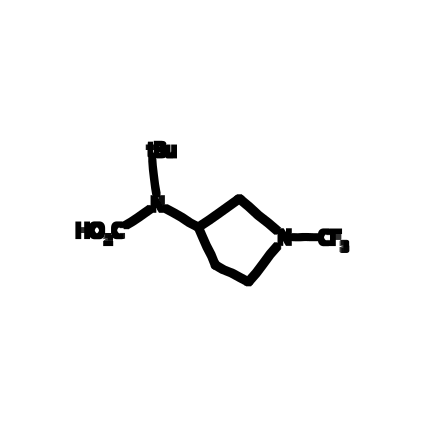 CC(C)(C)N(C(=O)O)C1CCN(C(F)(F)F)C1